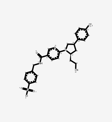 CCS(=O)(=O)c1ccc(CNC(=O)c2ccc(N3CC(c4ccc(C(F)(F)F)cc4)C[C@H]3CCC#N)nc2)cc1